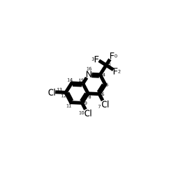 FC(F)(F)c1cc(Cl)c2c(Cl)cc(Cl)cc2n1